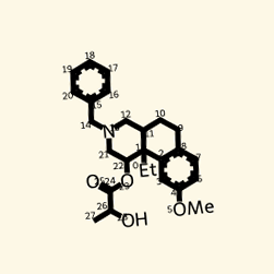 CCC12c3cc(OC)ccc3CCC1CN(Cc1ccccc1)CC2OC(=O)C(C)O